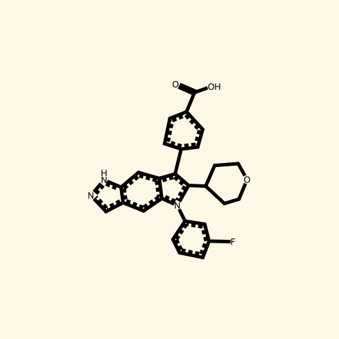 O=C(O)c1ccc(-c2c(C3CCOCC3)n(-c3cccc(F)c3)c3cc4cn[nH]c4cc23)cc1